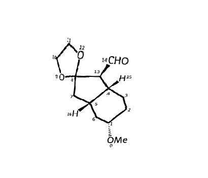 CO[C@H]1CC[C@@H]2[C@H](C1)CC1(OCCO1)[C@H]2C=O